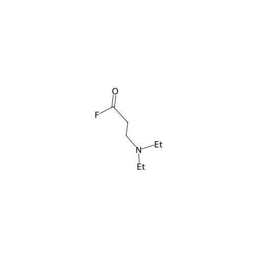 CCN(CC)CCC(=O)F